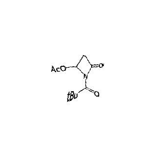 CC(=O)OC1CC(=O)N1C(=O)C(C)(C)C